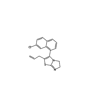 C=CCC1=C(c2cccc3ccc(Cl)cc23)N2CCN=C2S1